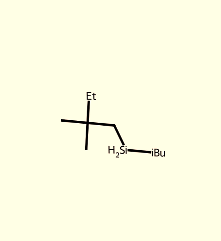 CCC(C)[SiH2]CC(C)(C)CC